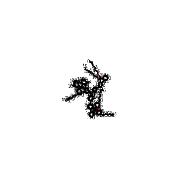 CCCCCCCCC1(CCCCCCCC)c2ccccc2-c2ccc(-c3ccc4c(c3)Oc3cc(-c5ccc6c(c5)C(c5ccc(CCCCCC)cc5)(c5ccc(CCCCCC)cc5)c5ccccc5-6)ccc3N4c3ccc(C4(c5ccc(CCCCCC)cc5)c5cc(C)ccc5-c5ccc(C)cc54)cc3)cc21